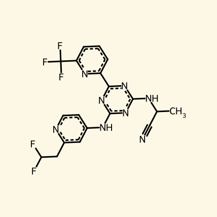 CC(C#N)Nc1nc(Nc2ccnc(CC(F)F)c2)nc(-c2cccc(C(F)(F)F)n2)n1